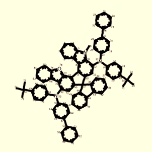 Cn1c2ccccc2c2c3c(cc(N(c4ccc(-c5ccccc5)cc4)c4ccc(C(C)(C)C)cc4)c21)C1(c2ccccc2-c2ccccc21)c1cc(N(c2ccc(-c4ccccc4)cc2)c2ccc(C(C)(C)C)cc2)c2c(oc4ccccc42)c1-3